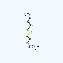 N#CCC=CCSCCCC(=O)O